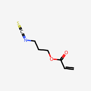 C=CC(=O)OCCCN=C=S